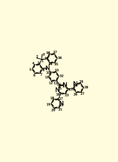 CC1(C)c2ccccc2N(c2ccc(-c3nc(-c4ccccn4)cc(-c4ccccn4)n3)cc2)c2ccccc21